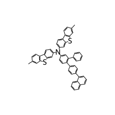 Cc1ccc2c(c1)sc1cc(N(c3ccc(-c4ccc(-c5cccc6ccccc56)cc4)c(-c4ccccc4)c3)c3ccc4c(c3)sc3cc(C)ccc34)ccc12